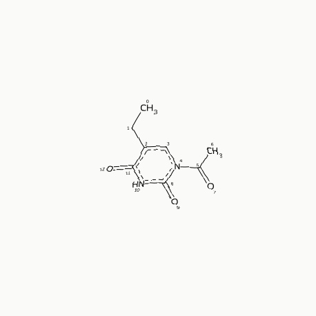 CCc1cn(C(C)=O)c(=O)[nH]c1=O